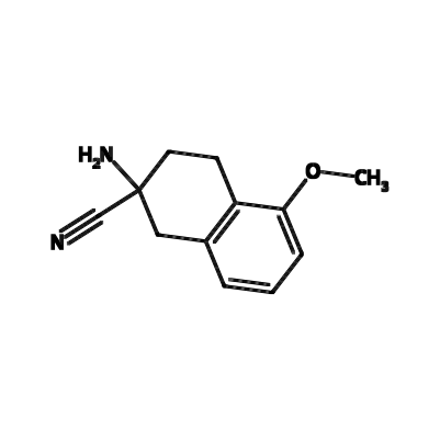 COc1cccc2c1CCC(N)(C#N)C2